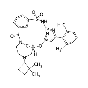 Cc1cccc(C)c1-c1cc2nc(n1)NS(=O)(=O)c1cccc(c1)C(=O)N1CCN(C3CCC3(C)C)C[C@H](C1)O2